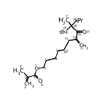 C=C(C)C(=O)OCCCCCCC(=C)C(=O)C(C)(C(C)C)C(C)(C)C